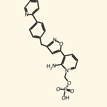 Nc1c(-c2cc(Cc3ccc(-c4ccccn4)cc3)no2)ccc[n+]1COP(=O)([O-])O